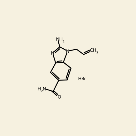 Br.C=CCn1c(N)nc2cc(C(N)=O)ccc21